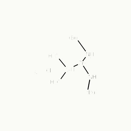 C[SiH](C)[Zr+2]([NH]C(C)(C)C)[NH]C(C)(C)C.[Cl-].[Cl-]